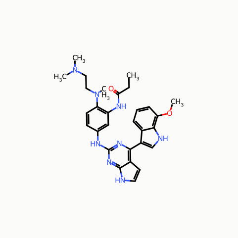 CCC(=O)Nc1cc(Nc2nc(-c3c[nH]c4c(OC)cccc34)c3cc[nH]c3n2)ccc1N(C)CCN(C)C